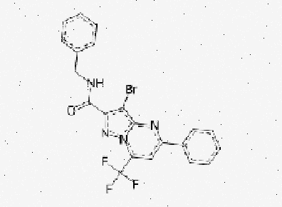 O=C(NCc1ccccc1)c1nn2c(C(F)(F)F)cc(-c3ccccc3)nc2c1Br